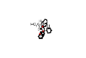 O=C(O)[C@@H]1[C@H]2CC[C@@H](CN1C(=O)N(c1ccccc1)c1ccccc1)N2C(=O)Cc1ccoc1